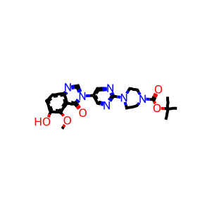 COc1c(O)ccc2ncn(-c3cnc(N4CCN(C(=O)OC(C)(C)C)CC4)nc3)c(=O)c12